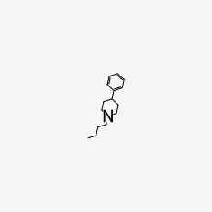 CCCCN1CCC(c2ccccc2)CC1